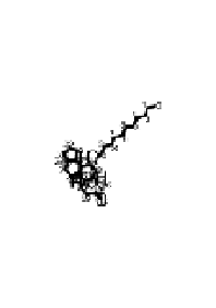 CCCCCCCCCCCOC1C[C@H]2N(C)C(=O)CC[C@]2(C)[C@H]2CC[C@]3(C)CCC[C@H]3[C@H]12